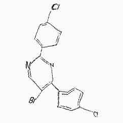 Clc1ccc(-c2ncc(Br)c(-c3ccc(Cl)cc3)n2)cc1